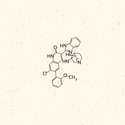 COc1ccccc1-c1cc2c(N[C@H]3CN4CCC3CC4)c(-c3nc4ccccc4[nH]3)c(=O)[nH]c2cc1Cl